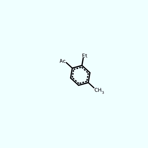 CCc1cc(C)ccc1C(C)=O